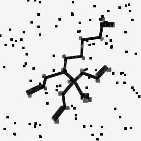 C=CCC(CCCCCCCCCCCCCC)C(P)(CC=C)CC=C